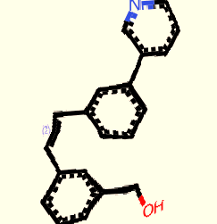 OCc1cccc(/C=C\c2cccc(-c3cccnc3)c2)c1